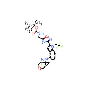 CC(C)(C)OC(=O)NCc1nc(-c2cc3c(N[C@@]45CCOC[C@]4(F)C5)cccc3n2CC(F)(F)F)no1